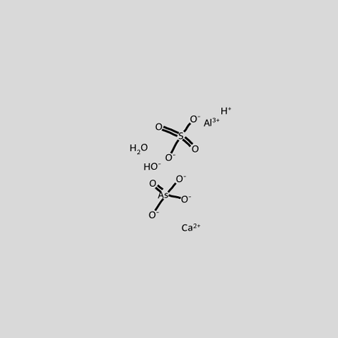 O.O=S(=O)([O-])[O-].O=[As]([O-])([O-])[O-].[Al+3].[Ca+2].[H+].[OH-]